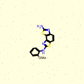 COc1ccccc1Nc1nc2c(ccc3nc(N)sc32)s1